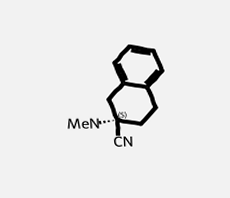 CN[C@@]1(C#N)CCc2ccccc2C1